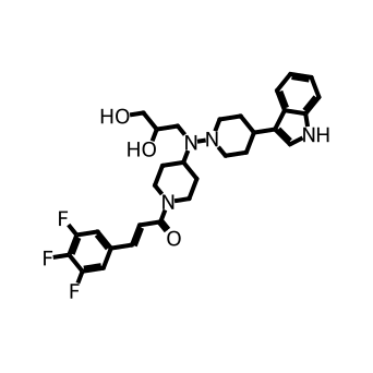 O=C(/C=C/c1cc(F)c(F)c(F)c1)N1CCC(N(CC(O)CO)N2CCC(c3c[nH]c4ccccc34)CC2)CC1